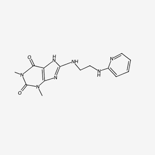 Cn1c(=O)c2[nH]c(NCCNc3ccccn3)nc2n(C)c1=O